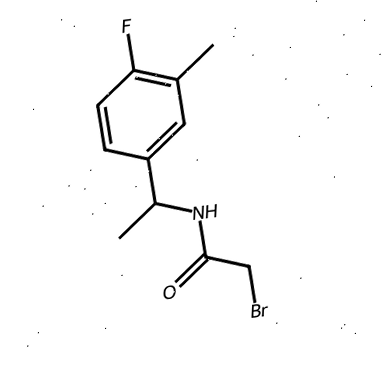 Cc1cc(C(C)NC(=O)CBr)ccc1F